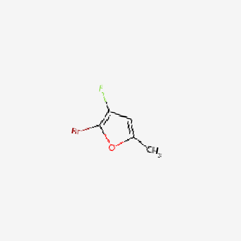 Cc1cc(F)c(Br)o1